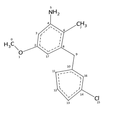 COc1cc(N)c(C)c(Cc2cccc(Cl)c2)c1